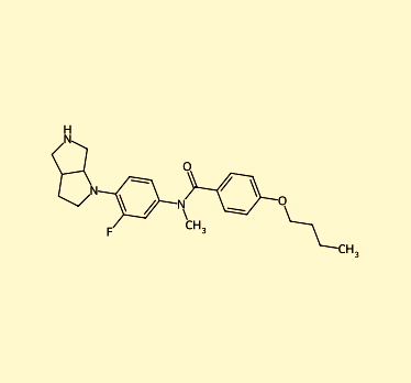 CCCCOc1ccc(C(=O)N(C)c2ccc(N3CCC4CNCC43)c(F)c2)cc1